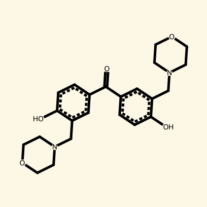 O=C(c1ccc(O)c(CN2CCOCC2)c1)c1ccc(O)c(CN2CCOCC2)c1